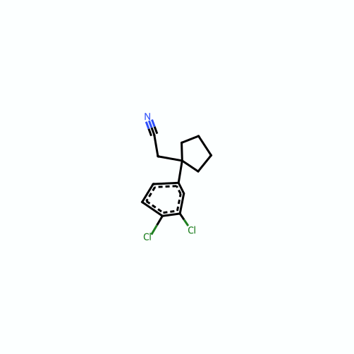 N#CCC1(c2ccc(Cl)c(Cl)c2)CCCC1